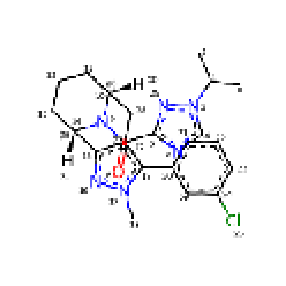 CC(C)n1cnc(C(=O)N2[C@@H]3CCC[C@H]2c2nn(C)c(-c4cccc(Cl)c4)c2C3)n1